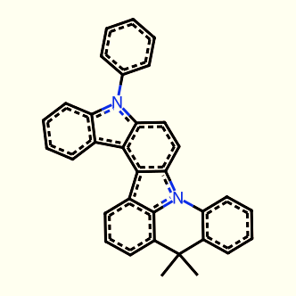 CC1(C)c2ccccc2-n2c3ccc4c(c5ccccc5n4-c4ccccc4)c3c3cccc1c32